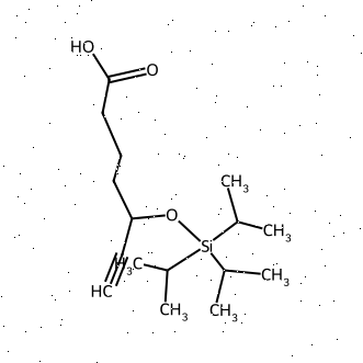 C#CC(CCCC(=O)O)O[Si](C(C)C)(C(C)C)C(C)C